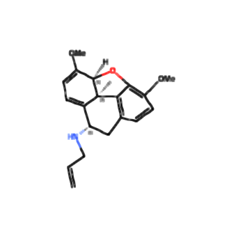 C=CCN[C@H]1Cc2ccc(OC)c3c2[C@@]2(C)C1=CC=C(OC)[C@H]2O3